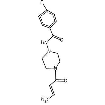 CC=CC(=O)N1CCN(NC(=O)c2ccc(F)cc2)CC1